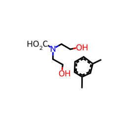 Cc1cccc(C)c1.O=C(O)N(CCO)CCO